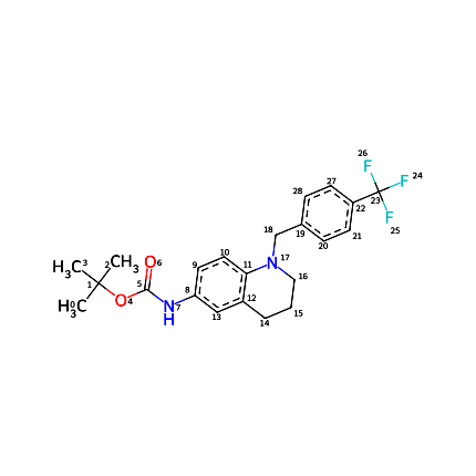 CC(C)(C)OC(=O)Nc1ccc2c(c1)CCCN2Cc1ccc(C(F)(F)F)cc1